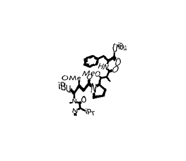 C=NC(C(=O)N(C)C(C(C)CC)C(CC(=O)N1CCCC1C(OC)C(C)C(=O)NC(Cc1ccccc1)C(=O)OC(C)CC)OC)C(C)C